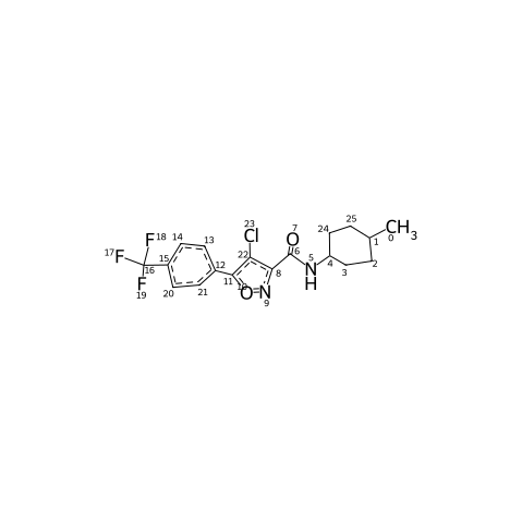 CC1CCC(NC(=O)c2noc(-c3ccc(C(F)(F)F)cc3)c2Cl)CC1